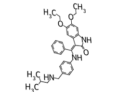 CCOc1cc2c(cc1OCC)/C(=C(/Nc1ccc(CNCC(C)C)cc1)c1ccccc1)C(=O)N2